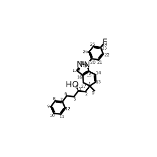 CC1(C[C@H](O)CCc2ccccc2)C=Cc2c(cnn2-c2ccc(F)cc2)C1